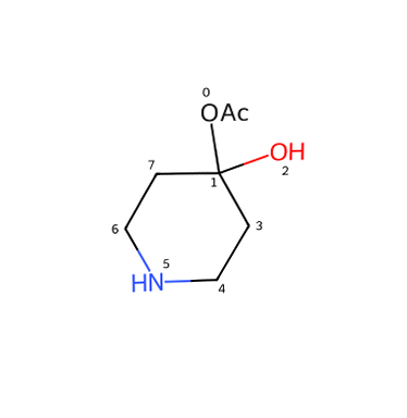 CC(=O)OC1(O)CCNCC1